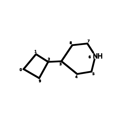 C1CC(C2CCNCC2)C1